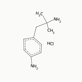 CC(C)(N)Cc1ccc(N)cc1.Cl